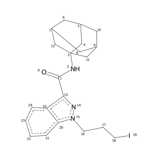 O=C(NC12CC3CC(CC(C3)C1)C2)c1nn(CCCI)c2ccccc12